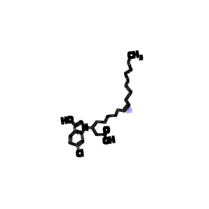 CCCCCCCC/C=C\CCCCCC(CC(=O)O)n1cc(O)c2ccc(Cl)cc21